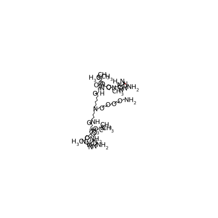 CN(Cc1cnc2nc(N)nc(N)c2n1)c1ccc(C(=O)C[C@@H](CCC(=O)NCCCCCN(CCCCCCC(=O)CC[C@H](NC(=O)c2ccc(N(C)Cc3cnc4nc(N)nc(N)c4n3)cc2)C(=O)OCC[Si](C)(C)C)CCOCCOCCOCCOCCN)C(=O)OCC[Si](C)(C)C)cc1